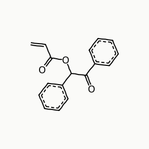 C=CC(=O)OC(C(=O)c1ccccc1)c1ccccc1